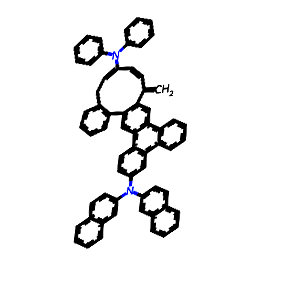 C=C1/C=C\C(N(c2ccccc2)c2ccccc2)=C/Cc2ccccc2-c2cc3c4ccc(N(c5ccc6ccccc6c5)c5ccc6ccccc6c5)cc4c4ccccc4c3cc21